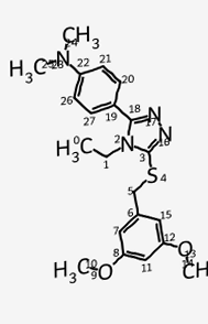 CCn1c(SCc2cc(OC)cc(OC)c2)nnc1-c1ccc(N(C)C)cc1